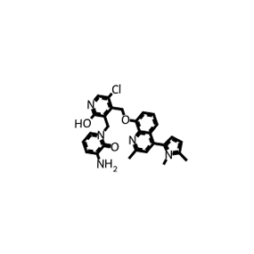 Cc1cc(-c2ccc(C)n2C)c2cccc(OCc3c(Cl)cnc(O)c3Cn3cccc(N)c3=O)c2n1